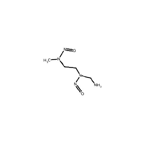 CN(CCN(CN)N=O)N=O